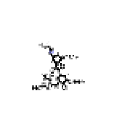 C/C=C/c1cc(OC)c2c(c1)[C@H](C)[C@@H](c1cc(CN(CCO)CCO)c(O)c(OC)c1)O2